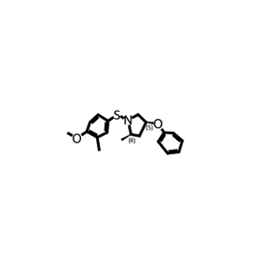 COc1ccc(SN2C[C@@H](Oc3ccccc3)C[C@H]2C)cc1C